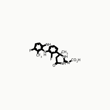 C[C@@]1(c2cccc(Nc3c(N)ccc(F)c3C(F)(F)F)c2F)CC(=O)N/C(=N/C(=O)O)N1